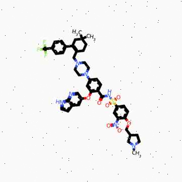 CN1CCC(COc2ccc(S(=O)(=O)NC(=O)c3ccc(N4CCN(CC5=C(c6ccc(C(F)(F)F)cc6)CC(C)(C)CC5)CC4)cc3Oc3cnc4[nH]ccc4c3)cc2[N+](=O)[O-])C1